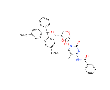 COc1ccc(C(OC[C@]23COC(C2O)[C@H](n2cc(C)c(NC(=O)c4ccccc4)nc2=O)O3)(c2ccccc2)c2ccc(OC)cc2)cc1